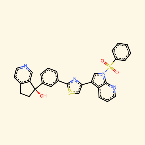 O=S(=O)(c1ccccc1)n1cc(-c2csc(-c3cccc([C@]4(O)CCc5ccncc54)c3)n2)c2cccnc21